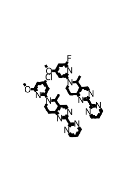 COc1cc(Cl)cc(N2CCc3nc(-c4ncccn4)ncc3C2C)n1.COc1cc(F)nc(N2CCc3nc(-c4ncccn4)ncc3C2C)c1